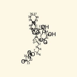 C/C(=C\C=C\[C@@H](C)COC(=O)N1CCC(=O)C1)[C@H]1OC(=O)C[C@@H](O)CC[C@](C)(O)[C@H](C2CN(C3CCCCCC3)CCN2C(=O)O)/C=C/[C@@H]1C